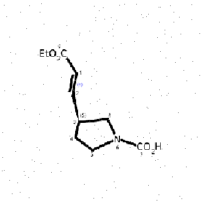 CCOC(=O)/C=C/[C@@H]1CCN(C(=O)O)C1